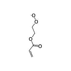 C=CC(=O)OCCO[O]